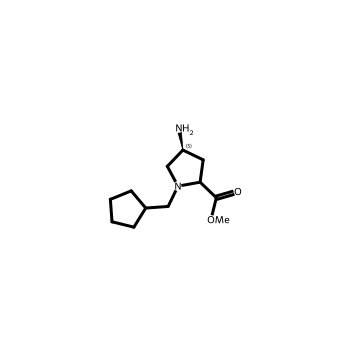 COC(=O)C1C[C@H](N)CN1CC1CCCC1